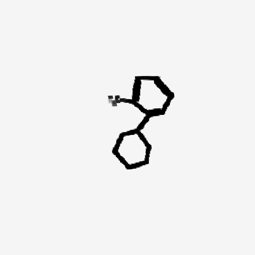 FC(F)(F)c1c[c]ccc1C1CCCCC1